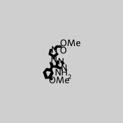 COC(=O)CN1CCC(n2cc(-c3cccc(OC)c3)c3c(N)ncnc32)C1